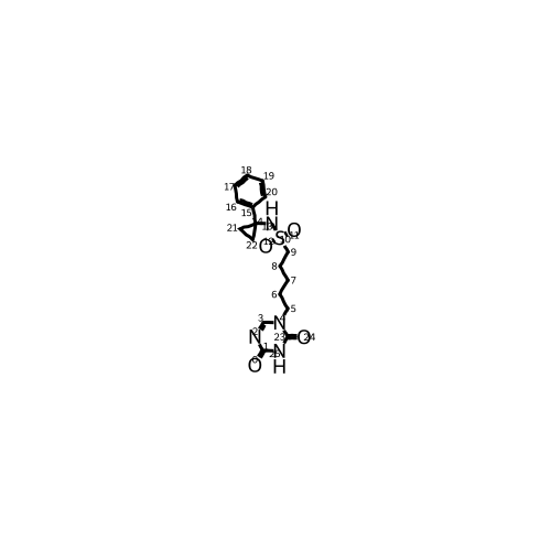 O=c1ncn(CCCCCS(=O)(=O)NC2(c3ccccc3)CC2)c(=O)[nH]1